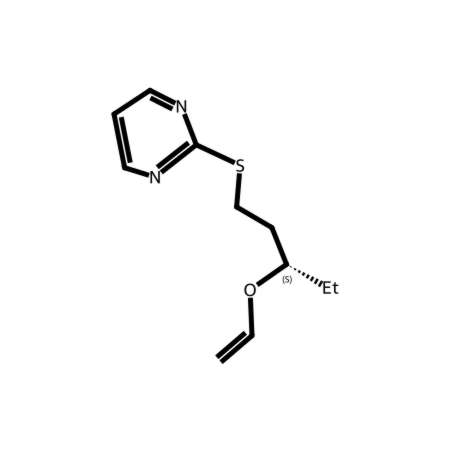 C=CO[C@@H](CC)CCSc1ncccn1